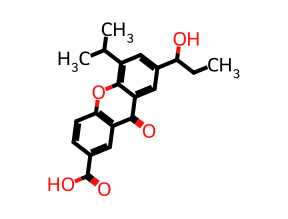 CCC(O)c1cc(C(C)C)c2oc3ccc(C(=O)O)cc3c(=O)c2c1